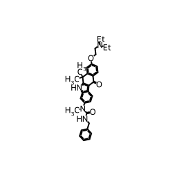 CCN(CC)CCOc1ccc2c(c1)C(C)(C)c1[nH]c3cc(N(C)C(=O)NCc4ccccc4)ccc3c1C2=O